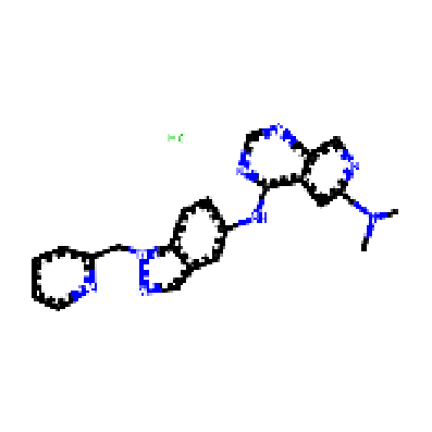 CN(C)c1cc2c(Nc3ccc4c(cnn4Cc4ccccn4)c3)ncnc2cn1.Cl